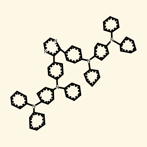 c1ccc(N(c2ccccc2)c2ccc(N(c3ccccc3)c3ccc(-c4nccnc4-c4ccc(N(c5ccccc5)c5ccc(N(c6ccccc6)c6ccccc6)cc5)cc4)cc3)cc2)cc1